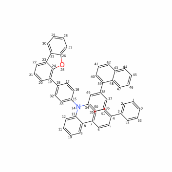 c1ccc(-c2ccc(-c3ccccc3N(c3ccc(-c4cccc5c4oc4ccccc45)cc3)c3cccc(-c4cccc5ccccc45)c3)cc2)cc1